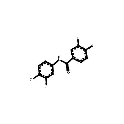 O=C(Nc1ccc(Br)c(F)c1)c1ccc(F)c(F)c1